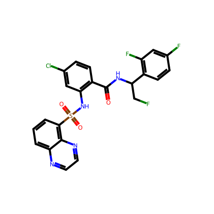 O=C(NC(CF)c1ccc(F)cc1F)c1ccc(Cl)cc1NS(=O)(=O)c1cccc2nccnc12